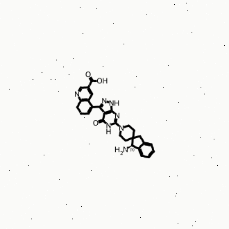 N[C@@H]1c2ccccc2CC12CCN(c1nc3[nH]nc(C4=CCCc5ncc(C(=O)O)cc54)c3c(=O)[nH]1)CC2